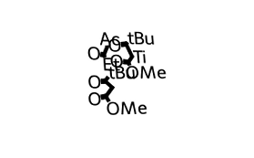 CCC(=O)CC(C)=O.COC(=O)CC(=O)C(C)(C)C.COC(=O)CC(=O)C(C)(C)C.[Ti]